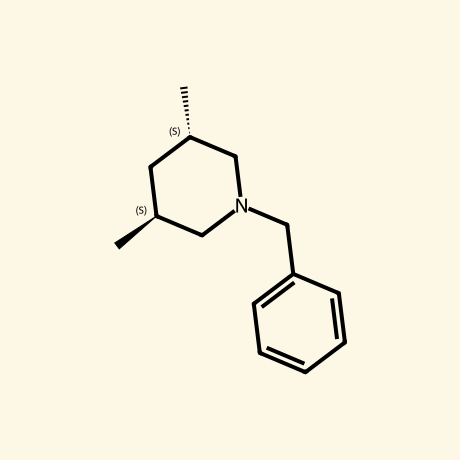 C[C@H]1C[C@H](C)CN(Cc2ccccc2)C1